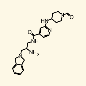 NC(CNC(=O)c1ccnc(NC2CCN(C=O)CC2)c1)CN1Cc2ccccc2C1